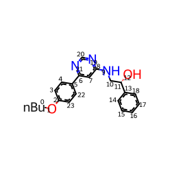 CCCCOc1ccc(-c2cc(NC[C@H](O)c3ccccc3)ncn2)cc1